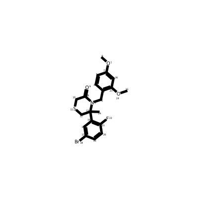 COc1ccc(CN2C(=O)CSCC2(C)c2cc(Br)ccc2F)c(OC)c1